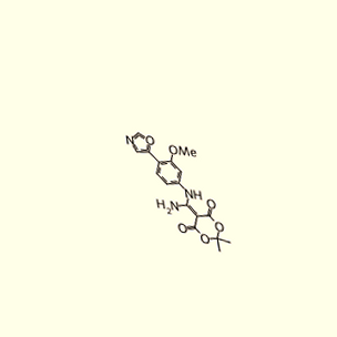 COc1cc(NC(N)=C2C(=O)OC(C)(C)OC2=O)ccc1-c1cnco1